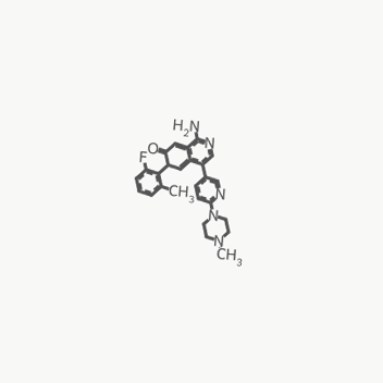 Cc1cccc(F)c1C1C=c2c(-c3ccc(N4CCN(C)CC4)nc3)cnc(N)c2=CC1=O